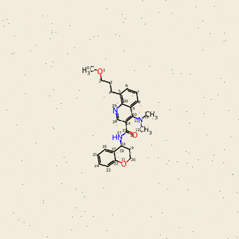 COCCCc1cccc2c(N(C)C)c(C(=O)N[C@H]3CCOc4ccccc43)cnc12